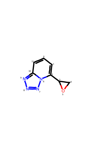 c1cc(C2CO2)n2nnnc2c1